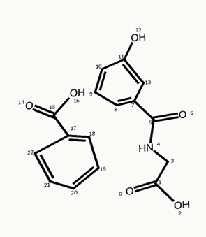 O=C(O)CNC(=O)c1cccc(O)c1.O=C(O)c1ccccc1